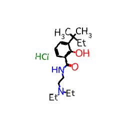 CCN(CC)CCNC(=O)c1cccc(C(C)(C)CC)c1O.Cl